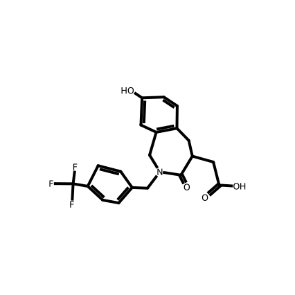 O=C(O)CC1Cc2ccc(O)cc2CN(Cc2ccc(C(F)(F)F)cc2)C1=O